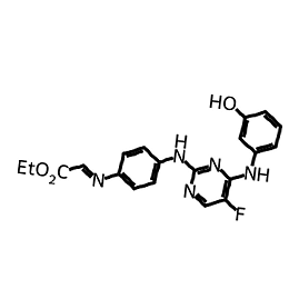 CCOC(=O)C=Nc1ccc(Nc2ncc(F)c(Nc3cccc(O)c3)n2)cc1